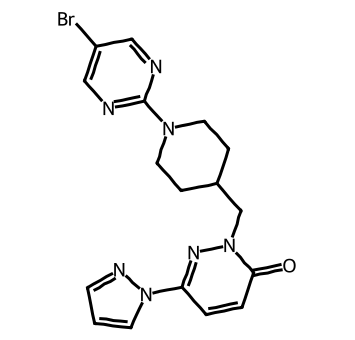 O=c1ccc(-n2cccn2)nn1CC1CCN(c2ncc(Br)cn2)CC1